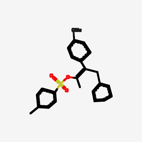 COc1ccc(/C(Cc2ccccc2)=C(/C)OS(=O)(=O)c2ccc(C)cc2)cc1